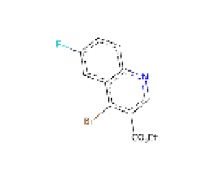 CCOC(=O)c1cnc2ccc(F)cc2c1Br